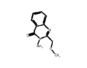 COCc1nc2ccccc2c(=O)n1N